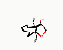 O[C@H]1CO[C@@H]2C[CH]C[C@H]12